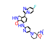 CO[C@]1(CN(C)C)CCCN(c2ccc(Nc3ccc(-c4cnc5cc(F)ccn45)c4c3C(=O)NC4)nc2)C1